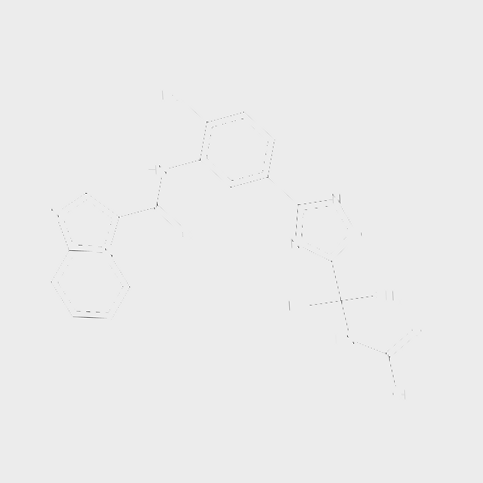 Cc1ccc(-c2noc(C(C)(C)NC(=O)O)n2)cc1NC(=O)c1cnc2ccccn12